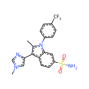 Cc1c(-c2cn(C)cn2)c2ccc(S(N)(=O)=O)cc2n1-c1ccc(C(F)(F)F)cc1